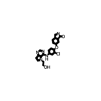 O=C1N=Cc2ccc(Oc3ccc(Nc4ncnc5ccn(CCO)c45)cc3Cl)cc21